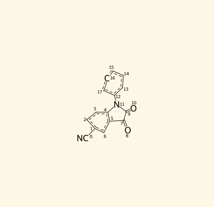 N#Cc1ccc2c(c1)C(=O)C(=O)N2c1ccccc1